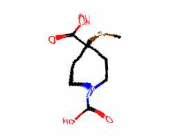 CSC1(C(=O)O)CCN(C(=O)O)CC1